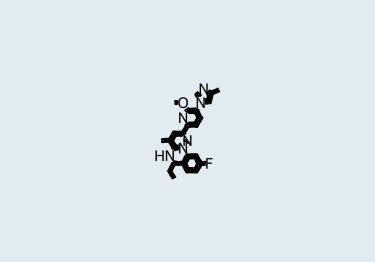 CCC(Nc1nnc(-c2ccc(-n3cnc(C)c3)c(OC)n2)cc1C)c1ccc(F)cc1